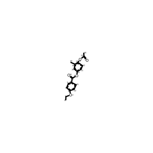 CCOc1ccc(C(=O)Oc2ccc(OC(C)=O)c(C)c2)cc1